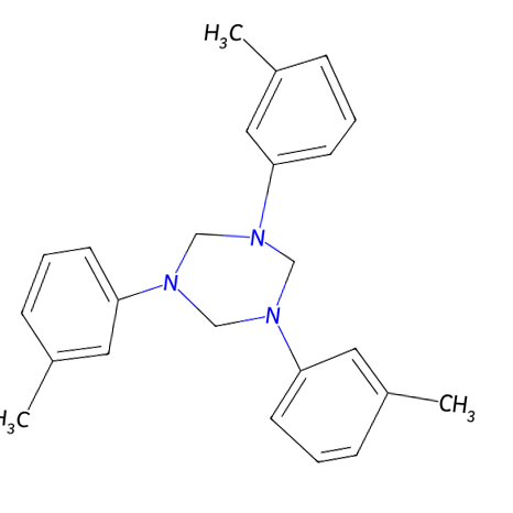 Cc1cccc(N2CN(c3cccc(C)c3)CN(c3cccc(C)c3)C2)c1